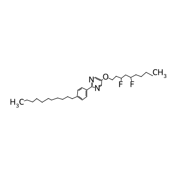 CCCCCCCCCCCc1ccc(-c2ncc(OCCC(F)CC(F)CCCCC)cn2)cc1